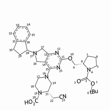 CC(C)(C)OC(=O)N1CCC[C@H]1COc1nc2c(c(N3CCN(C(=O)O)[C@@H](CC#N)C3)n1)CN(C1CCc3ccccc31)C2